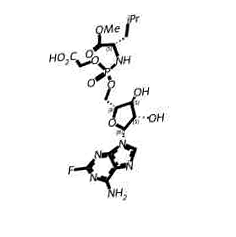 COC(=O)[C@H](CC(C)C)NP(=O)(OCC(=O)O)OC[C@H]1O[C@@H](n2cnc3c(N)nc(F)nc32)[C@@H](O)[C@@H]1O